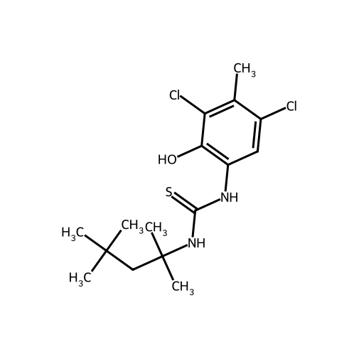 Cc1c(Cl)cc(NC(=S)NC(C)(C)CC(C)(C)C)c(O)c1Cl